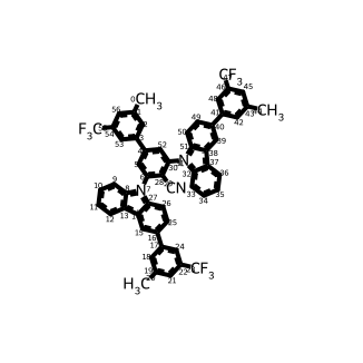 Cc1cc(-c2cc(-n3c4ccccc4c4cc(-c5cc(C)cc(C(F)(F)F)c5)ccc43)c(C#N)c(-n3c4ccccc4c4cc(-c5cc(C)cc(C(F)(F)F)c5)ccc43)c2)cc(C(F)(F)F)c1